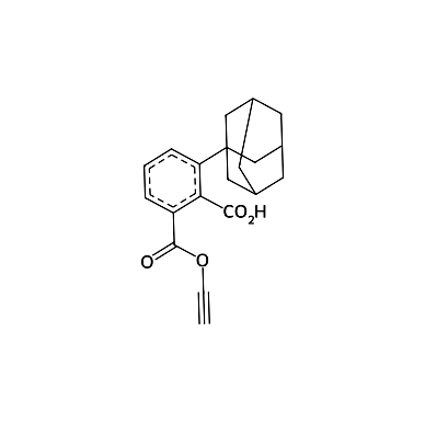 C#COC(=O)c1cccc(C23CC4CC(CC(C4)C2)C3)c1C(=O)O